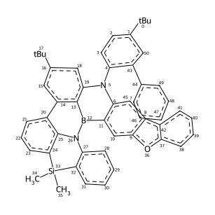 CC(C)(C)c1ccc(N2c3cc4c(cc3B3c5c(cc(C(C)(C)C)cc52)-c2cccc5c2N3c2ccccc2[Si]5(C)C)oc2ccccc24)c(-c2ccccc2)c1